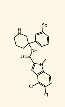 CC(=O)c1cccc(C2(NC(=O)c3cc4c(Cl)c(Cl)ccc4n3C)CCCNC2)c1